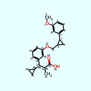 COc1cccc(C2CC2COc2cccc([C@H](C3CC3)[C@H](C)C(=O)O)c2)c1